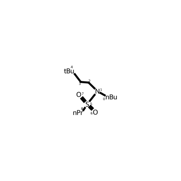 CCCCN(CCC(C)(C)C)S(=O)(=O)CCC